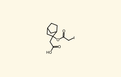 O=C(O)CC1(OC(=O)CI)CC2CCC1C2